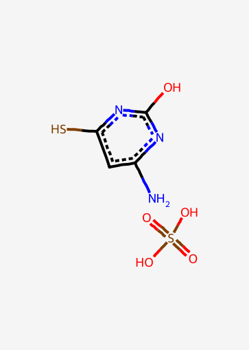 Nc1cc(S)nc(O)n1.O=S(=O)(O)O